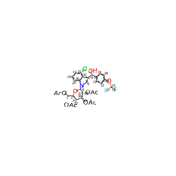 CC(=O)OC[C@H]1O[C@@H](n2cc(C(O)c3ccc(OC(F)F)cc3)c3c(Cl)cccc32)[C@H](OC(C)=O)[C@@H](OC(C)=O)[C@@H]1OC(C)=O